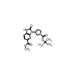 COC(=O)c1ccc2[nH]c(=O)n(C3CCN(C(=O)OC(C)(C)C)C3)c2n1